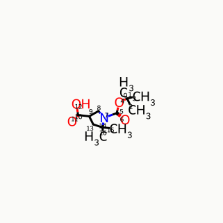 CC(C)(C)OC(=O)N1CC(C(=O)O)CC1(C)C